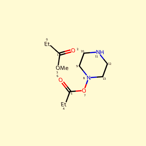 CCC(=O)OC.CCC(=O)ON1CCNCC1